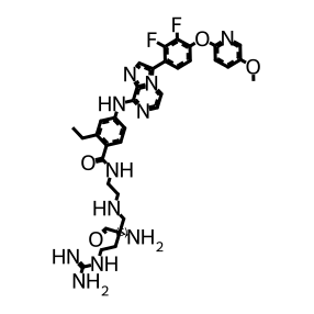 CCc1cc(Nc2nccn3c(-c4ccc(Oc5ccc(OC)cn5)c(F)c4F)cnc23)ccc1C(=O)NCCNC[C@](N)(C=O)CCNC(=N)N